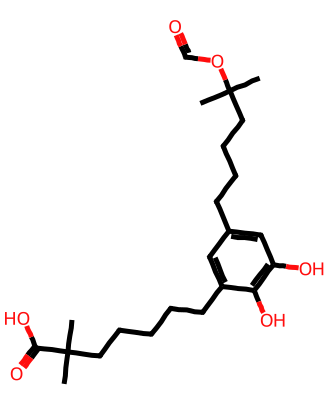 CC(C)(CCCCc1cc(O)c(O)c(CCCCCC(C)(C)C(=O)O)c1)OC=O